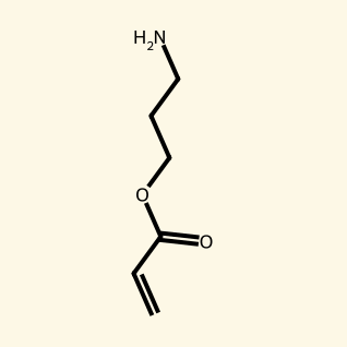 C=CC(=O)OCCCN